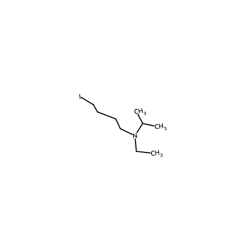 CCN(CCCCI)C(C)C